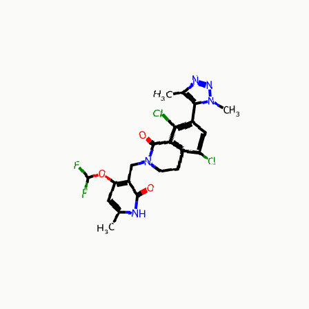 Cc1cc(OC(F)F)c(CN2CCc3c(Cl)cc(-c4c(C)nnn4C)c(Cl)c3C2=O)c(=O)[nH]1